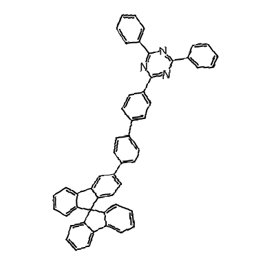 c1ccc(-c2nc(-c3ccccc3)nc(-c3ccc(-c4ccc(-c5ccc6c(c5)-c5ccccc5C65c6ccccc6-c6ccccc65)cc4)cc3)n2)cc1